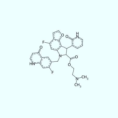 CN(C)CCOC(=O)C1C(c2ccc[nH]c2=O)c2c(cc(F)c3ccoc23)N1Cc1cc2c(=O)cc[nH]c2cc1F